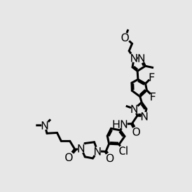 COCCn1cc(-c2ccc(-c3cnc(C(=O)Nc4ccc(C(=O)N5CCN(C(=O)CCCCN(C)C)CC5)c(Cl)c4)n3C)c(F)c2F)c(C)n1